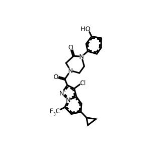 O=C(c1nn2c(C(F)(F)F)cc(C3CC3)cc2c1Cl)N1CCN(c2cccc(O)c2)C(=O)C1